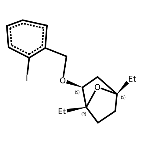 CC[C@@]12CC[C@@](CC)(O1)[C@@H](OCc1ccccc1I)C2